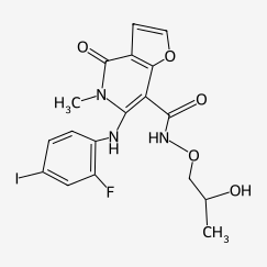 CC(O)CONC(=O)c1c(Nc2ccc(I)cc2F)n(C)c(=O)c2ccoc12